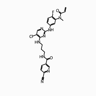 C=CC(=O)N(C)c1cc(Nc2ncc(Cl)c(NCCCNC(=O)c3ccc(C#N)nc3)n2)ccc1F